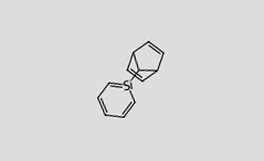 C1=CC2C=CC1C2[si]1ccccc1